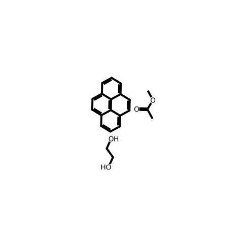 COC(C)=O.OCCO.c1cc2ccc3cccc4ccc(c1)c2c34